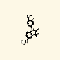 CC1N(c2ccc([N+](=O)[O-])cc2)c2ccc([N+](=O)[O-])cc2C1(C)C